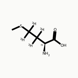 [2H]C([2H])(SC)C([2H])([2H])[C@H](N)C(=O)O